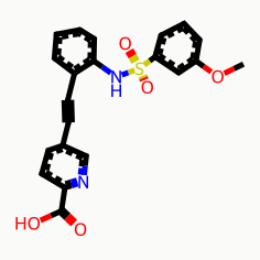 COc1cccc(S(=O)(=O)Nc2ccccc2C#Cc2ccc(C(=O)O)nc2)c1